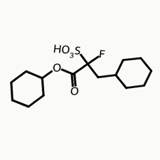 O=C(OC1CCCCC1)C(F)(CC1CCCCC1)S(=O)(=O)O